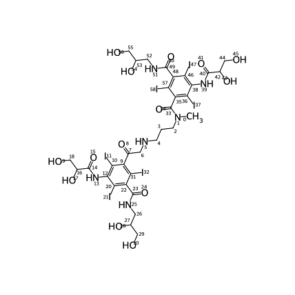 CN(CCCNCC(=O)c1c(I)c(NC(=O)C(O)CO)c(I)c(C(=O)NCC(O)CO)c1I)C(=O)c1c(I)c(NC(=O)C(O)CO)c(I)c(C(=O)NCC(O)CO)c1I